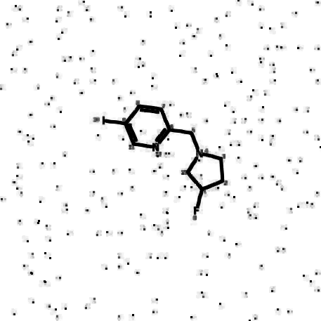 FC1CCN(Cc2ccc(I)cn2)C1